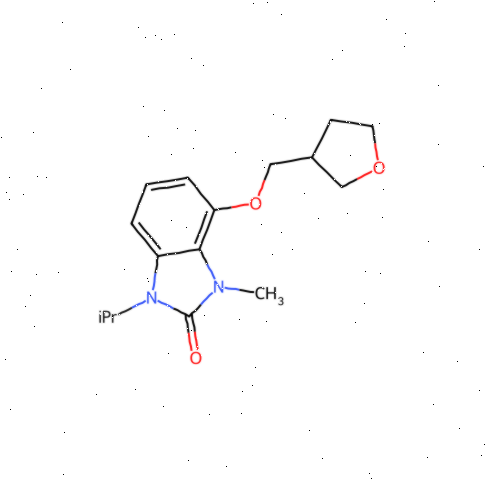 CC(C)n1c(=O)n(C)c2c(OCC3CCOC3)cccc21